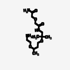 CC(CCOC(C)(C)CNC(=O)COCC(N)=O)OCCN